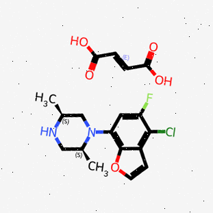 C[C@H]1CN(c2cc(F)c(Cl)c3ccoc23)[C@@H](C)CN1.O=C(O)/C=C/C(=O)O